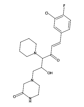 O=C1CN(CC(O)C(C(=O)/C=C/c2ccc(F)c(Cl)c2)N2CCCCC2)CCN1